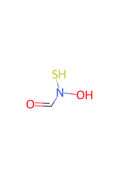 O=CN(O)S